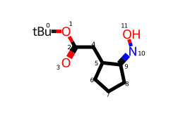 CC(C)(C)OC(=O)CC1CCC/C1=N/O